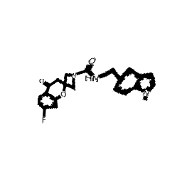 Cn1ccc2cc(CNC(=O)N3CC4(CC(=O)c5ccc(F)cc5O4)C3)ccc21